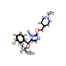 CC(C)N1CCC(COc2ncc(C(O[Si](C)(C)C(C)(C)C)c3cccc(F)c3)n2C)CC1